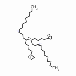 CCCCCCCC/C=C\CCC(CCCCC1CCO1)OC(CC/C=C\CCCCCCCC)CCCCC1CCO1